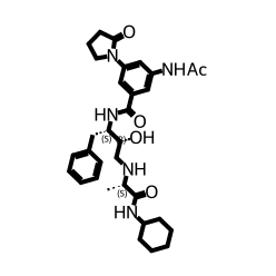 CC(=O)Nc1cc(C(=O)N[C@@H](Cc2ccccc2)[C@H](O)CN[C@@H](C)C(=O)NC2CCCCC2)cc(N2CCCC2=O)c1